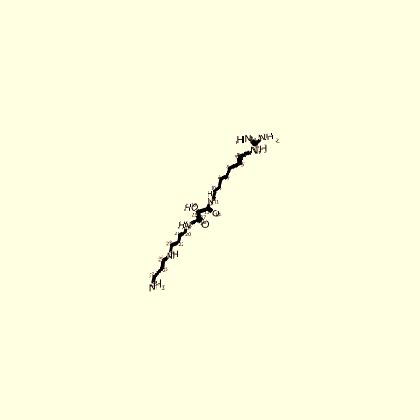 N=C(N)NCCCCCCCCNC(=O)C(O)C(=O)NCCCCNCCCN